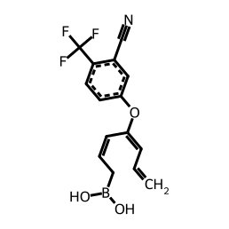 C=C/C=C(\C=C/CB(O)O)Oc1ccc(C(F)(F)F)c(C#N)c1